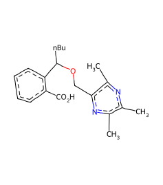 CCCCC(OCc1nc(C)c(C)nc1C)c1ccccc1C(=O)O